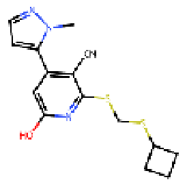 Cn1nccc1-c1cc(O)nc(SCSC2CCC2)c1C#N